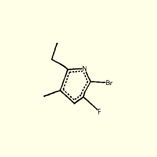 CCc1nc(Br)c(F)cc1C